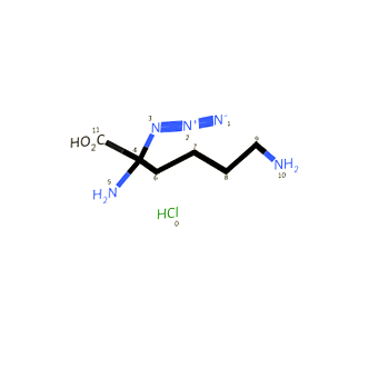 Cl.[N-]=[N+]=NC(N)(CCCCN)C(=O)O